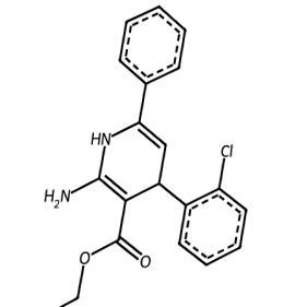 CCOC(=O)C1=C(N)NC(c2ccccc2)=CC1c1ccccc1Cl